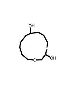 OC1CCCCCCCC(O)CCCC1